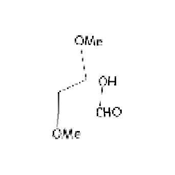 COCCOC.O=CO